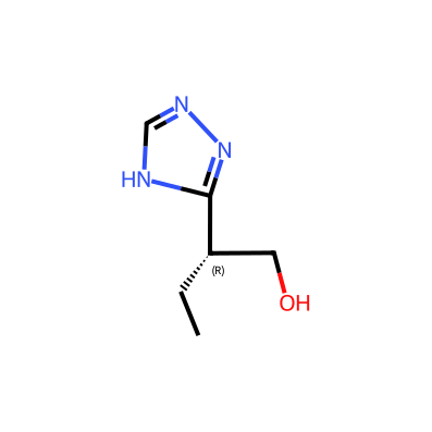 CC[C@@H](CO)c1nnc[nH]1